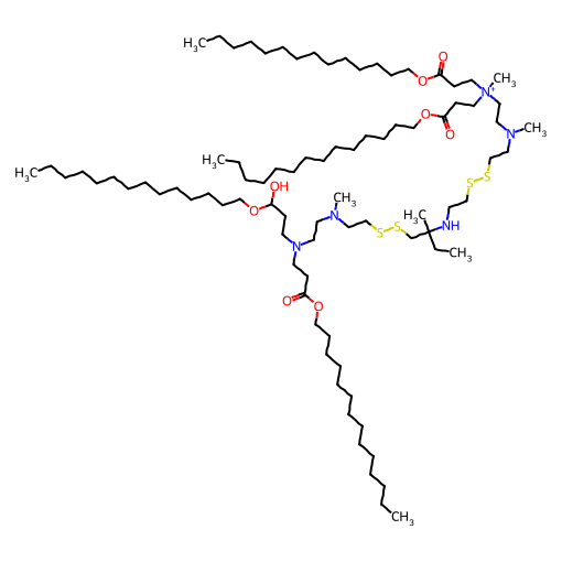 CCCCCCCCCCCCCCOC(=O)CCN(CCC(O)OCCCCCCCCCCCCCC)CCN(C)CCSSCC(C)(CC)NCCSSCCN(C)CC[N+](C)(CCC(=O)OCCCCCCCCCCCCCC)CCC(=O)OCCCCCCCCCCCCCC